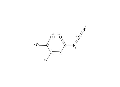 CC(=CC(=O)N=[N+]=[N-])C(=O)O